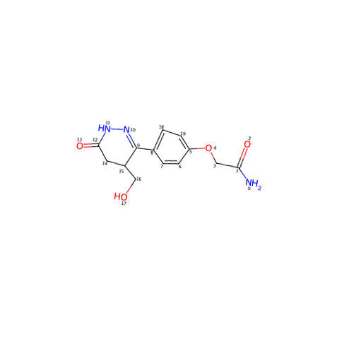 NC(=O)COc1ccc(C2=NNC(=O)CC2CO)cc1